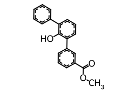 COC(=O)c1cccc(-c2cccc(-c3ccccc3)c2O)c1